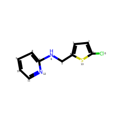 Clc1ccc(CNc2ccccn2)s1